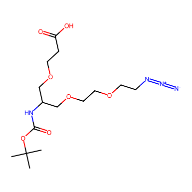 CC(C)(C)OC(=O)NC(COCCOCCN=[N+]=[N-])COCCC(=O)O